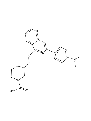 CC(C)C(=O)N1CCOC(COc2nc(-c3ccc(N(C)C)cc3)cc3nccnc23)C1